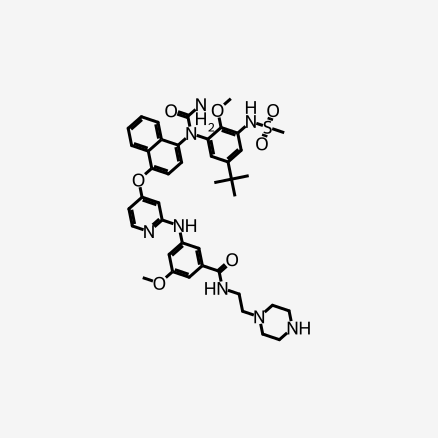 COc1cc(Nc2cc(Oc3ccc(N(C(N)=O)c4cc(C(C)(C)C)cc(NS(C)(=O)=O)c4OC)c4ccccc34)ccn2)cc(C(=O)NCCN2CCNCC2)c1